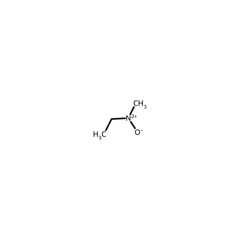 CC[N+2](C)[O-]